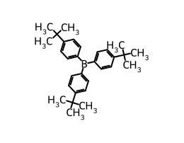 CC(C)(C)c1ccc(B(c2ccc(C(C)(C)C)cc2)c2ccc(C(C)(C)C)cc2)cc1